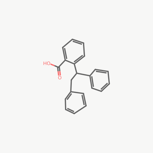 O=C(O)c1ccccc1C(Cc1ccccc1)c1ccccc1